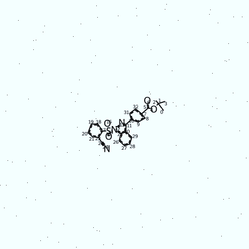 CC(C)(C)OC(=O)c1ccc(-c2nn(S(=O)(=O)c3ccccc3C#N)c3ccccc23)cc1